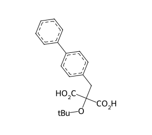 CC(C)(C)OC(Cc1ccc(-c2ccccc2)cc1)(C(=O)O)C(=O)O